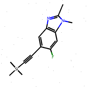 Cc1nc2cc(C#C[Si](C)(C)C)c(F)cc2n1C